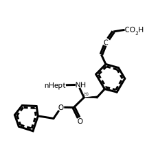 CCCCCCCN[C@@H](Cc1cccc(C=C=CC(=O)O)c1)C(=O)OCc1ccccc1